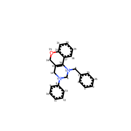 c1ccc(CN2CN(c3ccccc3)CC3=C2c2ccccc2OC3)cc1